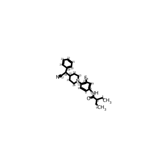 CCC(CC)C(=O)Nc1ccc(N2CCC(C(C#N)c3ccccc3)CC2)c(F)c1